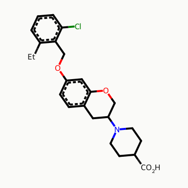 CCc1cccc(Cl)c1COc1ccc2c(c1)OCC(N1CCC(C(=O)O)CC1)C2